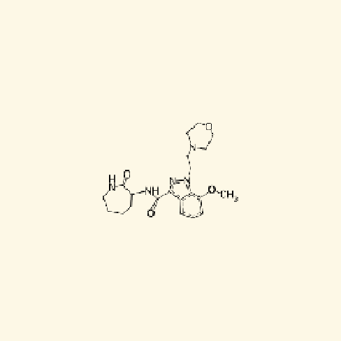 COc1cccc2c(C(=O)NC3CCCCNC3=O)nn(CCN3CCOCC3)c12